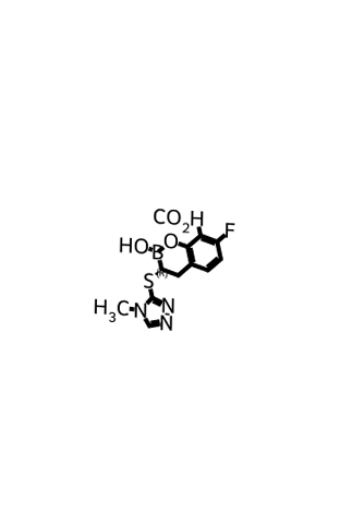 Cn1cnnc1S[C@H]1Cc2ccc(F)c(C(=O)O)c2OB1O